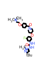 CN(C)CCOc1ccc(C(=O)N2CCC(Oc3cc(F)cc(NC(=O)Nc4cc(C(C)(C)C)nn4C)c3)CC2)cc1